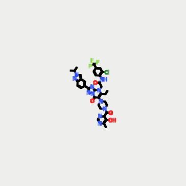 CCc1c(N2CCN(C(=O)c3ncnc(C)c3O)CC2)c(=O)n2nc(-c3ccc4nn(C(C)C)cc4c3)nc2n1CC(=O)Nc1ccc(C(F)(F)F)cc1Cl